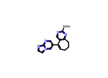 CNc1ncc2c(n1)CCCC=C2c1cnc2nccn2c1